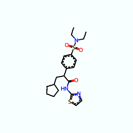 CCN(CC)S(=O)(=O)c1ccc(C(CC2CCCC2)C(=O)Nc2nccs2)cc1